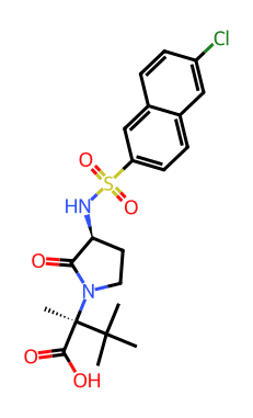 CC(C)(C)[C@@](C)(C(=O)O)N1CC[C@H](NS(=O)(=O)c2ccc3cc(Cl)ccc3c2)C1=O